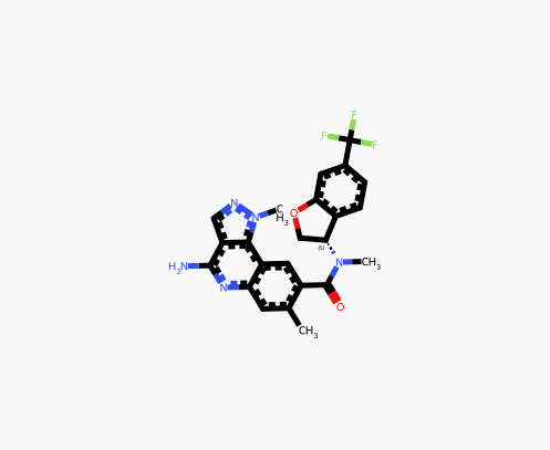 Cc1cc2nc(N)c3cnn(C)c3c2cc1C(=O)N(C)[C@@H]1COc2cc(C(F)(F)F)ccc21